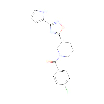 O=C(c1ccc(F)cc1)N1CCC[C@H](c2nc(-c3ccc[nH]3)no2)C1